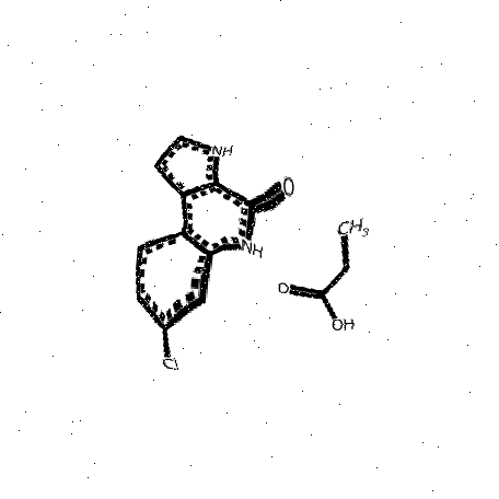 CCC(=O)O.O=c1[nH]c2cc(Cl)ccc2c2cc[nH]c12